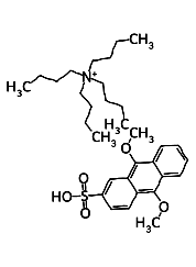 CCCC[N+](CCCC)(CCCC)CCCC.COc1c2ccccc2c(OC)c2cc(S(=O)(=O)O)ccc12